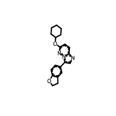 c1cc2c(cc1-c1cnc3ccc(OC4CCCCC4)nn13)CCO2